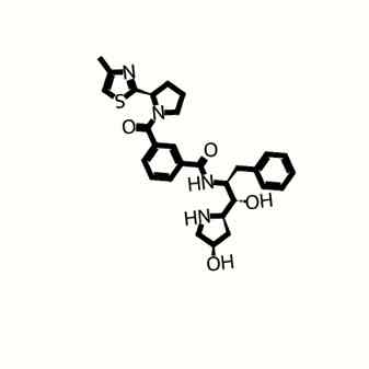 Cc1csc([C@H]2CCCN2C(=O)c2cccc(C(=O)N[C@@H](Cc3ccccc3)[C@H](O)[C@H]3C[C@@H](O)CN3)c2)n1